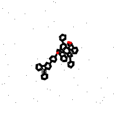 c1ccc(-c2ccc3c(c2)C2(c4ccccc4-c4ccccc42)c2ccc(-c4ccccc4)cc2C32c3ccccc3-c3c(-c4ccc(-c5ccc6c(c5)c5ccccc5n6-c5ccccc5)cc4)cccc32)cc1